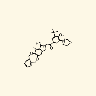 COc1c(N2CCOCC2)cc(C(=O)CN2Cc3cc4c(c(F)c3C2=N)OCc2ccccc2CO4)cc1C(C)(C)C